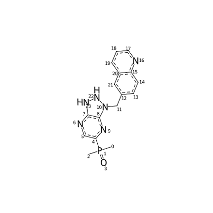 CP(C)(=O)c1cnc2c(n1)N(Cc1ccc3ncccc3c1)NN2